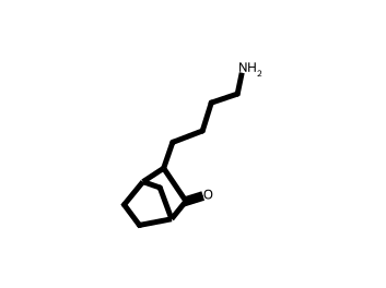 NCCCCC1C(=O)C2CCC1C2